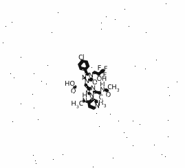 CNc1ccncc1-n1nc(Cn2nc(-c3ccc(Cl)cc3)n(CC(O)C(F)(F)F)c2=O)nc1C(C)NC(C)=O.O=CO